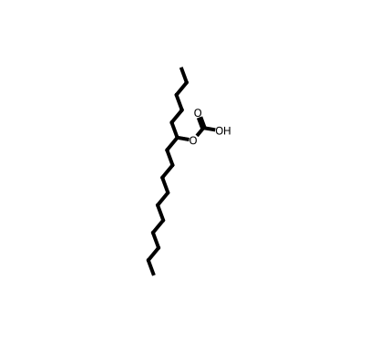 CCCCCCCCCCC(CCCCC)OC(=O)O